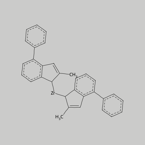 CC1=Cc2c(-c3ccccc3)cccc2[CH]1[Zr][CH]1C(C)=Cc2c(-c3ccccc3)cccc21